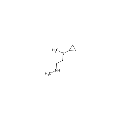 CNCCN(C)C1CC1